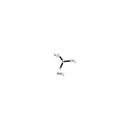 CN(C)I.[PbH2]